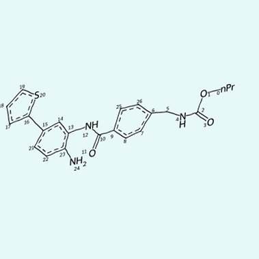 CCCOC(=O)NCc1ccc(C(=O)Nc2cc(-c3cccs3)ccc2N)cc1